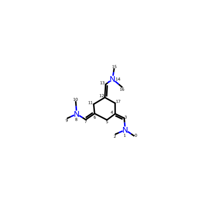 CN(C)C=C1CC(=CN(C)C)CC(=CN(C)C)C1